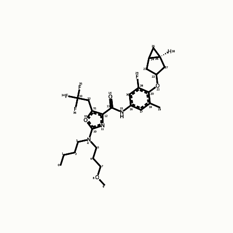 CCCCN(CCCOC)c1nc(C(=O)Nc2cc(C)c(OC3CC4C[C@H]4C3)c(F)c2)c(CC(F)(F)F)o1